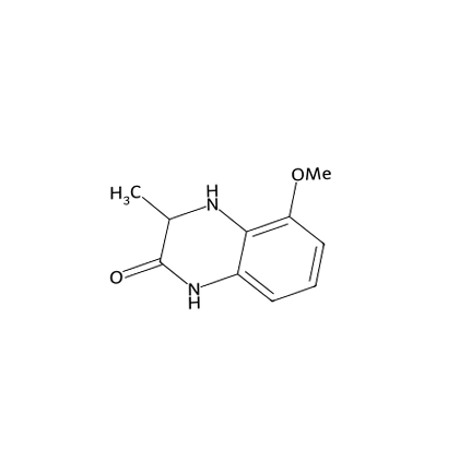 COc1cccc2c1NC(C)C(=O)N2